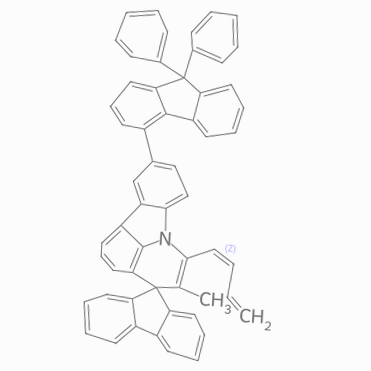 C=C/C=C\C1=C(C)C2(c3ccccc3-c3ccccc32)c2cccc3c4cc(-c5cccc6c5-c5ccccc5C6(c5ccccc5)c5ccccc5)ccc4n1c23